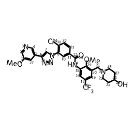 COc1cncc(-c2cn(-c3cc(C(=O)Nc4cc(C(F)(F)F)cc(CN5CCC(O)CC5)c4OC)ccc3Cl)nn2)c1